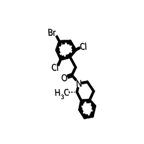 C[C@H]1c2ccccc2CCN1C(=O)Cc1c(Cl)cc(Br)cc1Cl